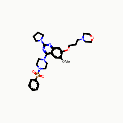 COc1cc2c(N3CCN(S(=O)(=O)c4ccccc4)CC3)nc(N3CCCC3)nc2cc1OCCCN1CCOCC1